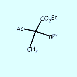 CCCC(C)(C(C)=O)C(=O)OCC